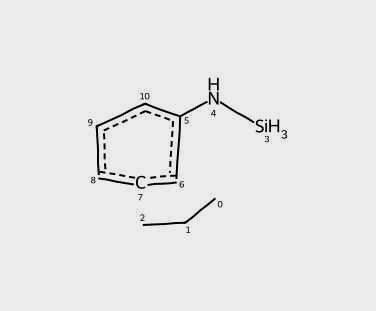 CCC.[SiH3]Nc1ccccc1